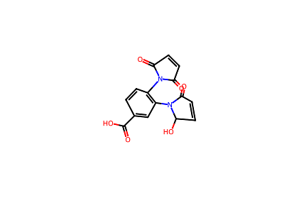 O=C(O)c1ccc(N2C(=O)C=CC2=O)c(N2C(=O)C=CC2O)c1